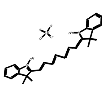 CCCN1\C(=C/C=C/C=C/C=C/C2=[N+](CCC)c3ccccc3C2(C)C)C(C)(C)c2ccccc21.[O-][Cl+3]([O-])([O-])[O-]